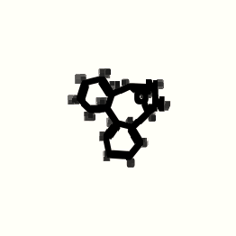 c1ccc2c(c1)-c1nnc(o1)-c1ccccc1-2